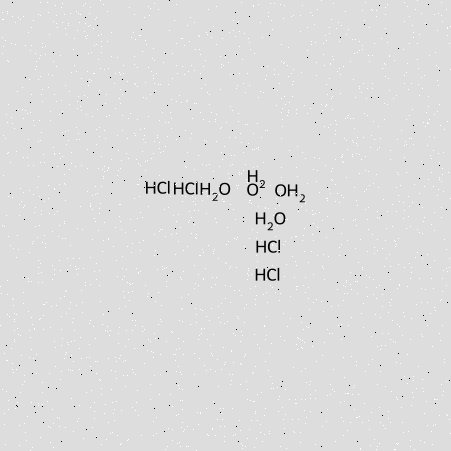 Cl.Cl.Cl.Cl.O.O.O.O